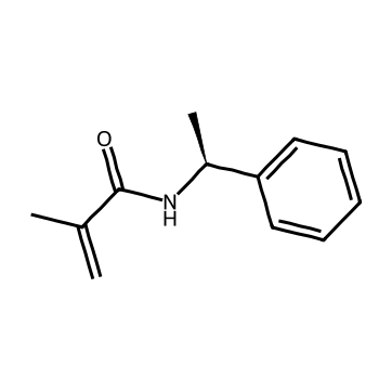 C=C(C)C(=O)N[C@@H](C)c1ccccc1